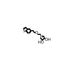 O[C@@H]1CN(CCOCCc2ccc3sccc3c2)C[C@@H]1O